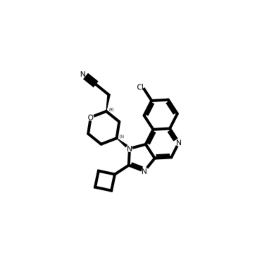 N#CC[C@H]1C[C@@H](n2c(C3CCC3)nc3cnc4ccc(Cl)cc4c32)CCO1